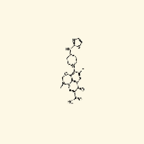 CN1COc2c(N3CCC(Nc4nccs4)CC3)c(F)cc3c(=O)c(C(=O)O)cn1c23